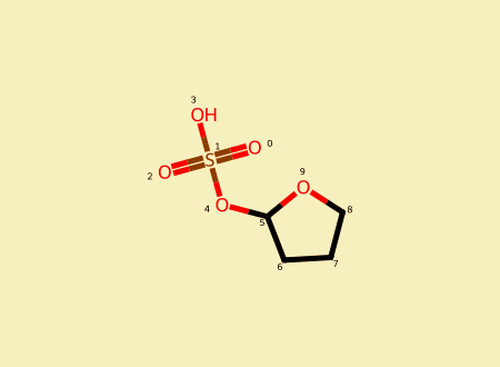 O=S(=O)(O)OC1CCCO1